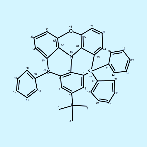 CC(C)(C)c1cc2c3c(c1)[Si](c1ccccc1)(c1ccccc1)c1cccc4c1N3c1c(cccc1B2c1ccccc1)O4